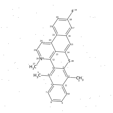 Cc1c2c(c(C)c3ccccc13)-c1c3c(cc4cc(F)ccc4c3cc[n+]1C)S2